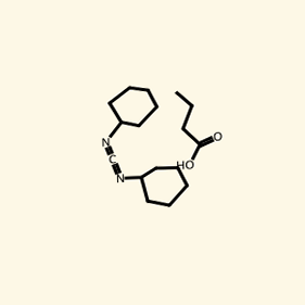 C(=NC1CCCCC1)=NC1CCCCC1.CCCC(=O)O